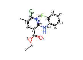 CCOC(=O)c1cc(C)c(Cl)nc1Nc1ccccc1F